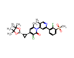 Cc1cnc(-c2cccc(S(C)(=O)=O)c2F)cc1-n1c(C)cc([C@H]2C[C@@H]2B2OC(C)(C)C(C)(C)O2)c(Cl)c1=O